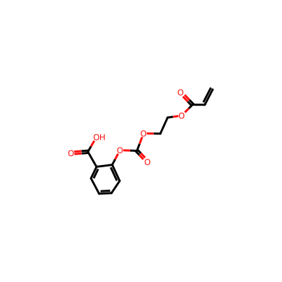 C=CC(=O)OCCOC(=O)Oc1ccccc1C(=O)O